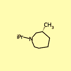 CC(C)N1CCCC[C@@H](C)C1